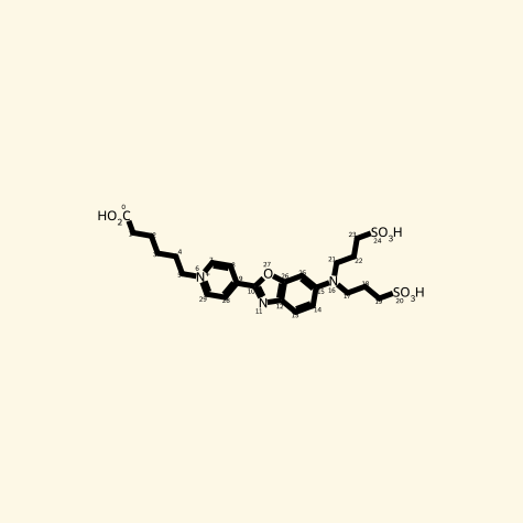 O=C(O)CCCCC[n+]1ccc(-c2nc3ccc(N(CCCS(=O)(=O)O)CCCS(=O)(=O)O)cc3o2)cc1